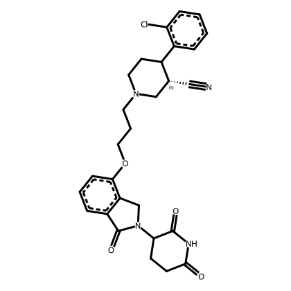 N#C[C@@H]1CN(CCCOc2cccc3c2CN(C2CCC(=O)NC2=O)C3=O)CCC1c1ccccc1Cl